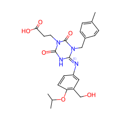 Cc1ccc(Cn2c(=O)n(CCC(=O)O)c(=O)[nH]/c2=N\c2ccc(OC(C)C)c(CO)c2)cc1